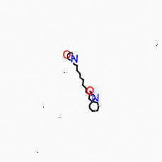 O=C=NCCCCCCCCCCCC1(N=C=O)CCCCCC1